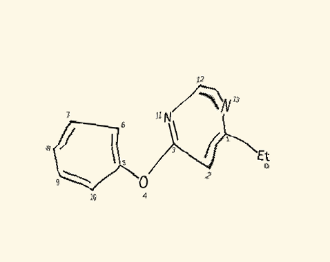 CCc1cc(Oc2ccccc2)ncn1